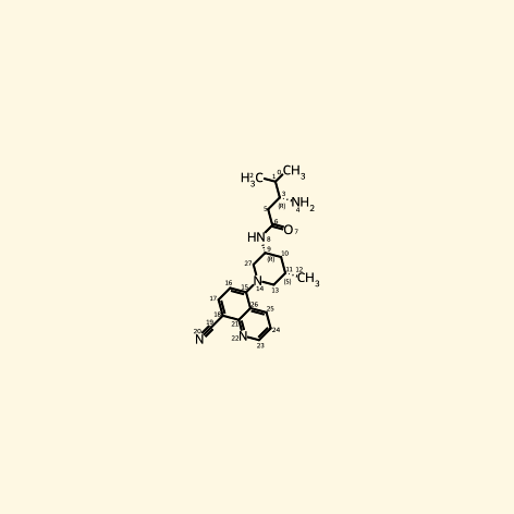 CC(C)[C@H](N)CC(=O)N[C@@H]1C[C@H](C)CN(c2ccc(C#N)c3ncccc23)C1